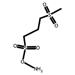 CS(=O)(=O)CCCS(=O)(=O)ON